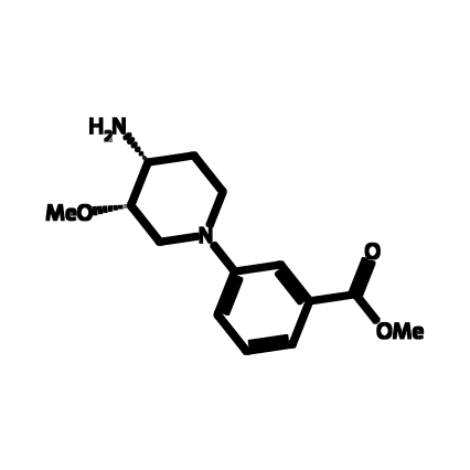 COC(=O)c1cccc(N2CC[C@@H](N)[C@@H](OC)C2)c1